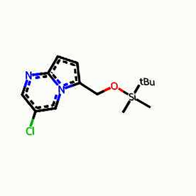 CC(C)(C)[Si](C)(C)OCc1ccc2ncc(Cl)cn12